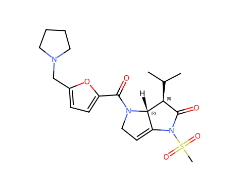 CC(C)[C@H]1C(=O)N(S(C)(=O)=O)C2=CCN(C(=O)c3ccc(CN4CCCC4)o3)[C@@H]21